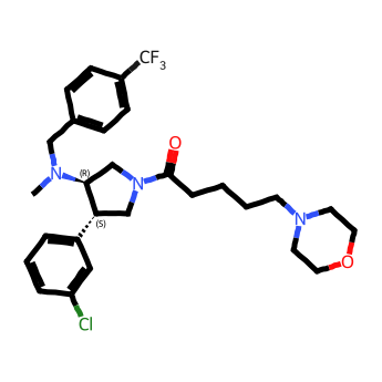 CN(Cc1ccc(C(F)(F)F)cc1)[C@H]1CN(C(=O)CCCCN2CCOCC2)C[C@@H]1c1cccc(Cl)c1